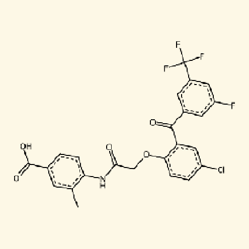 Cc1cc(C(=O)O)ccc1NC(=O)COc1ccc(Cl)cc1C(=O)c1cc(F)cc(C(F)(F)F)c1